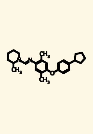 Cc1cc(Oc2ccc(C3CCCC3)cc2)c(C)cc1N=CN1CCCCC1C